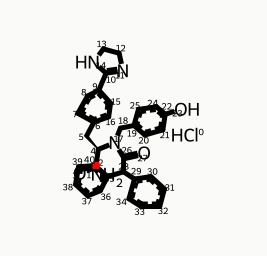 Cl.NC(=O)[C@@H](Cc1ccc(C2=NCCN2)cc1)N(Cc1ccc(O)cc1)C(=O)C(c1ccccc1)c1ccccc1